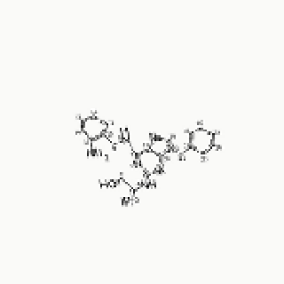 CC(C)C(CO)Nc1nc(NCc2ccccc2N)c2ncn(Cc3ccccc3)c2n1